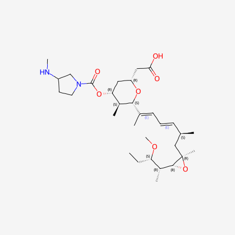 CC[C@H](OC)[C@@H](C)[C@H]1O[C@]1(C)C[C@H](C)/C=C/C=C(\C)[C@H]1O[C@@H](CC(=O)O)C[C@@H](OC(=O)N2CCC(NC)C2)[C@@H]1C